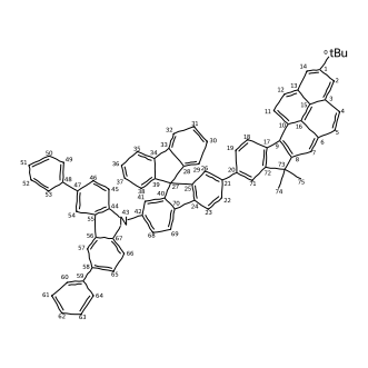 CC(C)(C)c1cc2ccc3cc4c(c5ccc(c1)c2c35)-c1ccc(-c2ccc3c(c2)C2(c5ccccc5-c5ccccc52)c2cc(-n5c6ccc(-c7ccccc7)cc6c6cc(-c7ccccc7)ccc65)ccc2-3)cc1C4(C)C